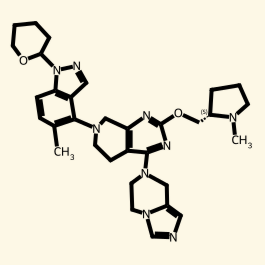 Cc1ccc2c(cnn2C2CCCCO2)c1N1CCc2c(nc(OC[C@@H]3CCCN3C)nc2N2CCn3cncc3C2)C1